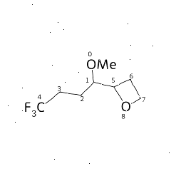 COC(CCC(F)(F)F)C1CCO1